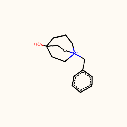 OC12CCC[N+](Cc3ccccc3)(CC1)CC2